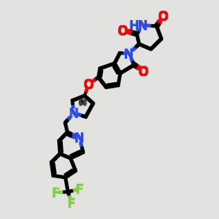 O=C1CCC(N2Cc3cc(O[C@H]4CCN(Cc5cc6ccc(C(F)(F)F)cc6cn5)C4)ccc3C2=O)C(=O)N1